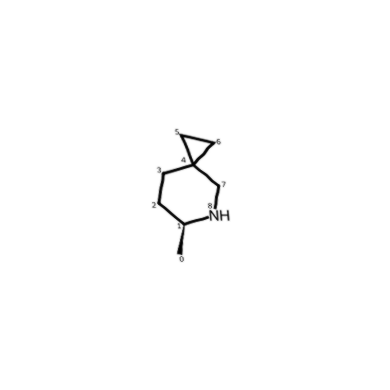 C[C@H]1CCC2(CC2)CN1